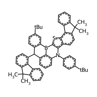 CC(C)(C)c1ccc(N2c3cccc4c3B(c3cc(C(C)(C)C)ccc3C4c3cccc4c3-c3ccccc3C4(C)C)c3sc4c5c(ccc4c32)C(C)(C)c2ccccc2-5)cc1